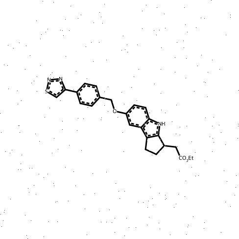 CCOC(=O)CC1CCc2c1[nH]c1ccc(OCc3ccc(-c4csnn4)cc3)cc21